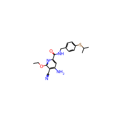 CCOc1nc(C(=O)NCc2ccc(SC(C)C)cc2)cc(N)c1C#N